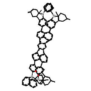 CC1CCC2(C)C(C1)c1cc(-c3ccc4c5cc6c(cc5c5ccc(-c7ccc8c(c7)C7CC(C)CCC7(C)N8c7ccccc7)c3c45)c3ccc(-c4ccc5c(c4)C4CC(C)CCC4(C)N5c4ccccc4)c4c(-c5ccc7c(c5)C5CC(C)CCC5(C)N7c5ccccc5)ccc6c43)ccc1N2c1ccccc1